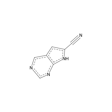 N#Cc1cc2cncnc2[nH]1